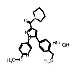 COc1ccc(-n2nc(C(=O)N3CCCCC3)cc2-c2ccc(CN)cc2)cn1.Cl.Cl